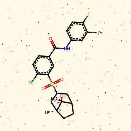 CC(C)c1cc(NC(=O)c2ccc(Cl)c(S(=O)(=O)C3CC4CC[C@@H](C3)[C@]4(C)O)c2)ccc1F